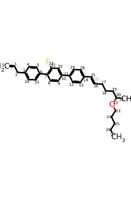 C=CCc1ccc(-c2ccc(-c3ccc(/C=C/CCCC(C)OCCCCC)cc3)cc2F)cc1